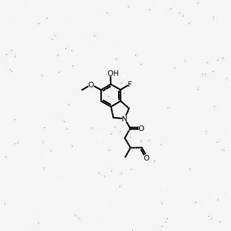 COc1cc2c(c(F)c1O)CN(C(=O)CC(C)C=O)C2